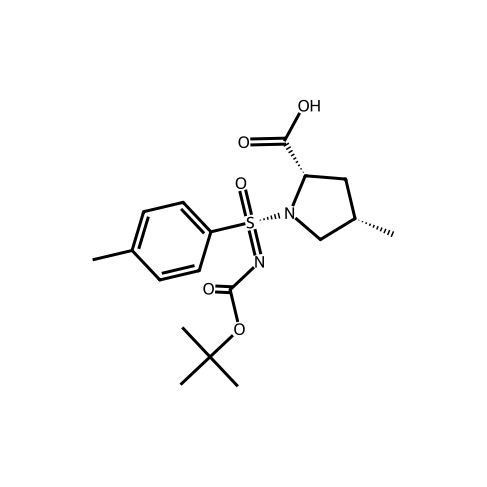 Cc1ccc([S@@](=O)(=NC(=O)OC(C)(C)C)N2C[C@@H](C)C[C@H]2C(=O)O)cc1